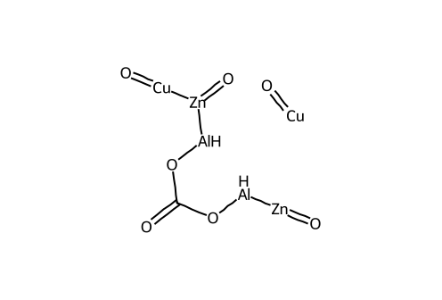 [O]=[Cu].[O]=[Cu][Zn](=[O])[AlH][O]C(=O)[O][AlH][Zn]=[O]